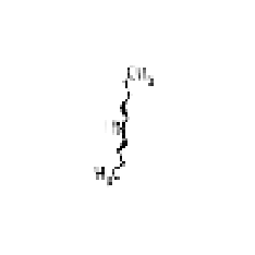 CC/C=C/N/C=C/CCC